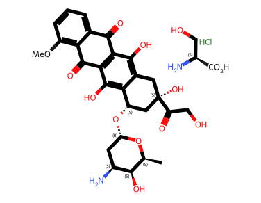 COc1cccc2c1C(=O)c1c(O)c3c(c(O)c1C2=O)C[C@@](O)(C(=O)CO)C[C@@H]3O[C@H]1C[C@H](N)[C@H](O)[C@H](C)O1.Cl.N[C@@H](CO)C(=O)O